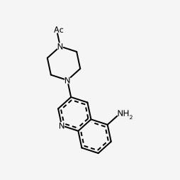 CC(=O)N1CCN(c2cnc3cccc(N)c3c2)CC1